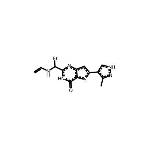 C=CNC(CC)c1nc2cc(-c3c[nH]nc3C)sc2c(=O)[nH]1